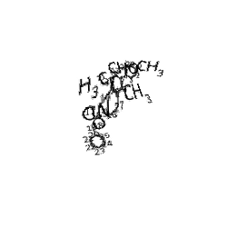 Cc1ccc(-c2c(C)c3c(c(C)c2C=O)CN(C(=O)OCc2ccccc2)CC3)cc1